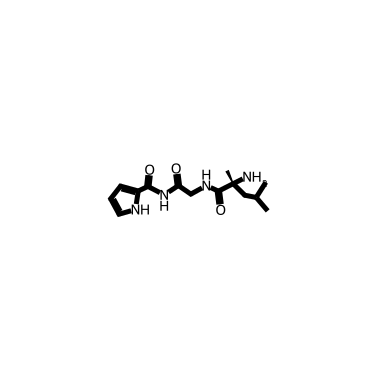 CC(C)C[C@@](C)(N)C(=O)NCC(=O)NC(=O)c1ccc[nH]1